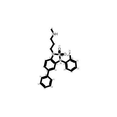 CNCCCN1c2ccc(-c3ccccc3)cc2N(c2ccccc2F)S1(=O)=O